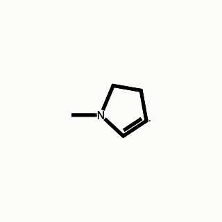 CN1C=[C]CC1